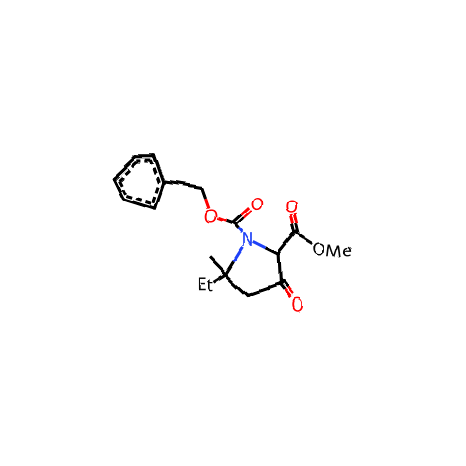 CCC1(C)CC(=O)C(C(=O)OC)N1C(=O)OCc1ccccc1